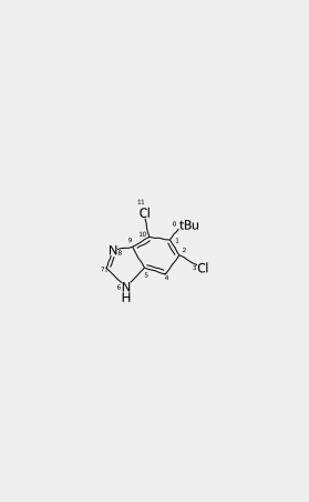 CC(C)(C)c1c(Cl)cc2[nH][c]nc2c1Cl